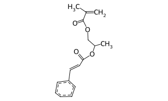 C=C(C)C(=O)OCC(C)OC(=O)C=Cc1ccccc1